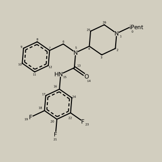 CCCC(C)N1CCC(N(Cc2ccccc2)C(=O)Nc2cc(F)c(F)c(F)c2)CC1